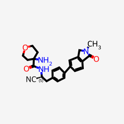 CN1Cc2cc(-c3ccc(C[C@@H](C#N)NC(=O)C4(N)CCOCC4)cc3)ccc2C1=O